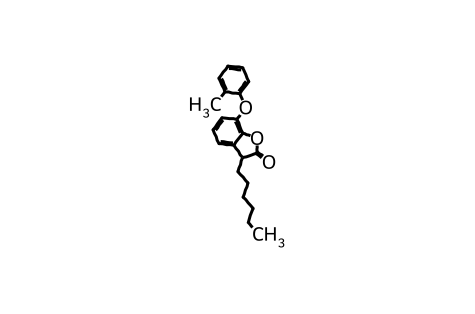 CCCCCCC1C(=O)Oc2c(Oc3ccccc3C)cccc21